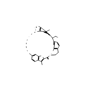 Cc1c2oc3cc(ccc13)OCCCCCCn1nnc3c(C)c(ccc31)C(CC(=O)O)c1ccc3c(c1)CN(CC3)C2=O